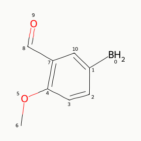 Bc1ccc(OC)c(C=O)c1